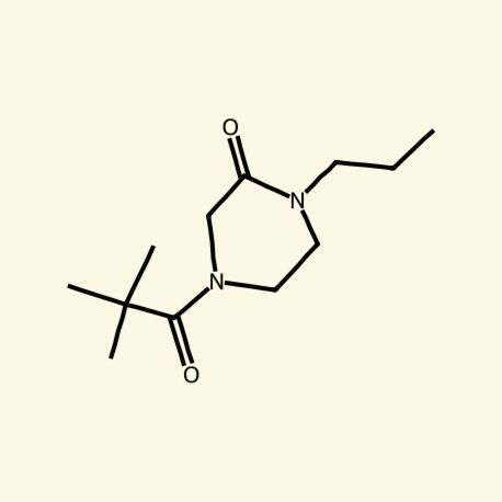 CCCN1CCN(C(=O)C(C)(C)C)CC1=O